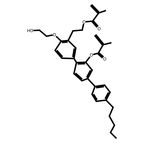 C=C(C)C(=O)OCCc1cc(-c2ccc(-c3ccc(CCCCC)cc3)cc2OC(=O)C(=C)C)ccc1OCCO